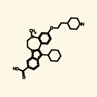 CN1CCn2c(c(C3CCCCC3)c3ccc(C(=O)O)cc32)-c2ccc(OCCC3CCNCC3)cc21